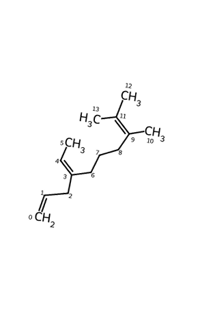 C=CCC(=CC)CCCC(C)=C(C)C